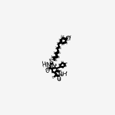 Cc1c(Cc2c(Cc3ccccc3)nc(SCCCCCCCCc3ccc(Cl)cc3)[nH]c2=O)cc[nH]c1=O